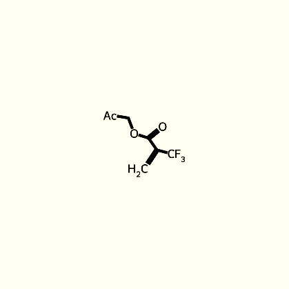 C=C(C(=O)OCC(C)=O)C(F)(F)F